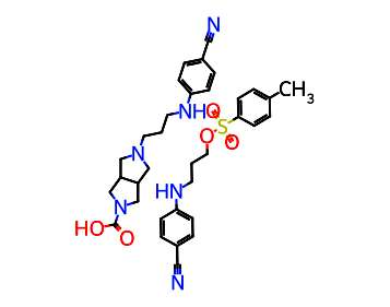 Cc1ccc(S(=O)(=O)OCCCNc2ccc(C#N)cc2)cc1.N#Cc1ccc(NCCCN2CC3CN(C(=O)O)CC3C2)cc1